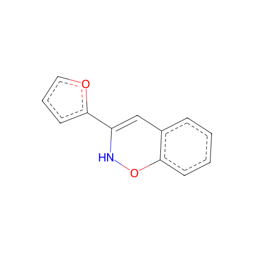 C1=C(c2ccco2)NOc2ccccc21